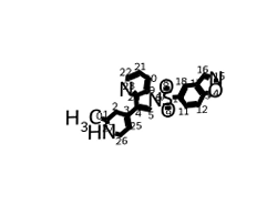 CC1CC(c2cn(S(=O)(=O)c3ccc4oncc4c3)c3cccnc23)=CCN1